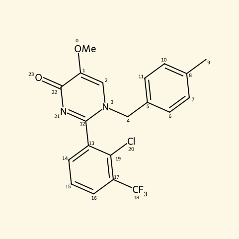 COc1cn(Cc2ccc(C)cc2)c(-c2cccc(C(F)(F)F)c2Cl)nc1=O